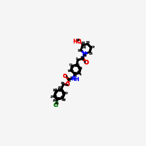 O=C(Nc1ccc(CC(=O)N2CCC[C@@H](O)C2)cc1)OCc1ccc(Cl)cc1